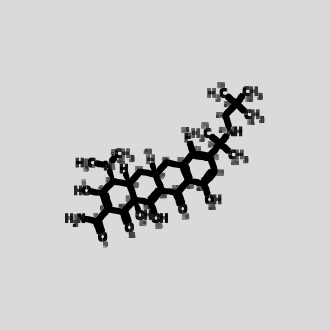 CN(C)[C@@H]1C(O)=C(C(N)=O)C(=O)[C@@]2(O)C(O)=C3C(=O)c4c(O)cc(C(C)(C)NCC(C)(C)C)c(F)c4C[C@H]3C[C@@H]12